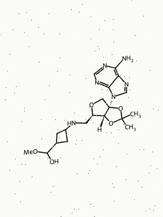 COC(O)C1CC(NC[C@H]2OC[C@@]3(n4cnc5c(N)ncnc54)OC(C)(C)O[C@H]23)C1